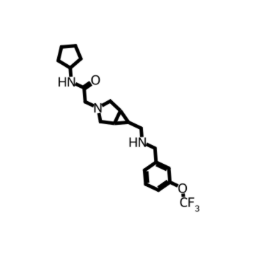 O=C(CN1CC2C(CNCc3cccc(OC(F)(F)F)c3)C2C1)NC1CCCC1